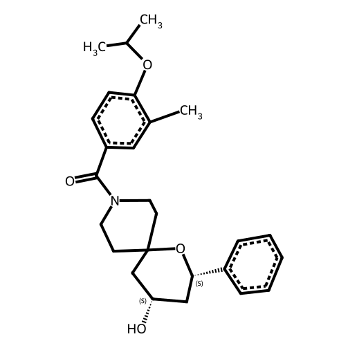 Cc1cc(C(=O)N2CCC3(CC2)C[C@@H](O)C[C@@H](c2ccccc2)O3)ccc1OC(C)C